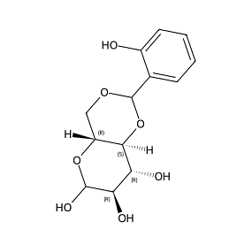 Oc1ccccc1C1OC[C@H]2OC(O)[C@H](O)[C@@H](O)[C@@H]2O1